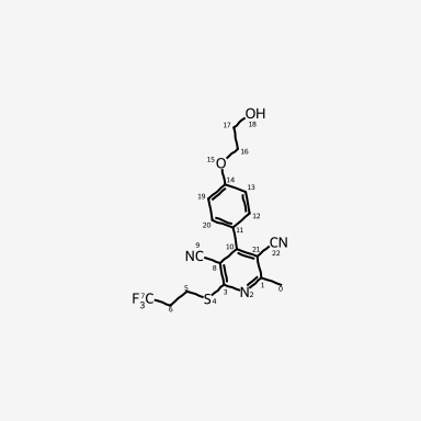 Cc1nc(SCCC(F)(F)F)c(C#N)c(-c2ccc(OCCO)cc2)c1C#N